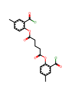 Cc1ccc(OC(=O)CCCC(=O)Oc2ccc(C)cc2C(=O)Cl)c(C(=O)Cl)c1